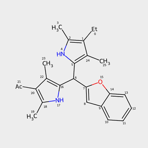 CCc1c(C)[nH]c(C(c2cc3ccccc3o2)c2[nH]c(C)c(C(C)=O)c2C)c1C